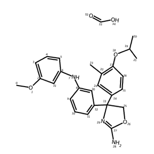 COc1cccc(Nc2cccc(C3(c4ccc(OC(C)C)c(C)c4)COC(N)=N3)c2)c1.O=CO